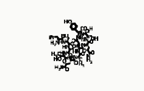 CC(C)C[C@H](N)C(=O)N[C@@H](CO)C(=O)N[C@@H](CO)C(=O)N[C@H](C(=O)N[C@@H](CCC(N)=O)C(=O)N[C@@H](C)C(=O)N[C@@H](CCC(N)=O)C(=O)N[C@@H](CCC(N)=O)C(=O)N[C@@H](CO)C(=O)N[C@@H](Cc1ccc(O)cc1)C(=O)O)[C@@H](C)O